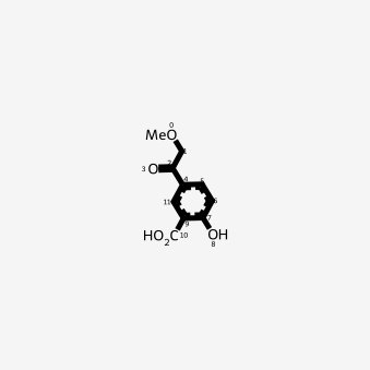 COCC(=O)c1ccc(O)c(C(=O)O)c1